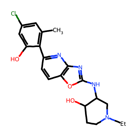 CCN1CCC(O)C(Nc2nc3nc(-c4c(C)cc(Cl)cc4O)ccc3o2)C1